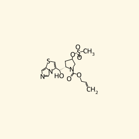 C=CCOC(=O)N1C[C@H](OS(C)(=O)=O)C[C@H]1C(O)c1csc2cncn12